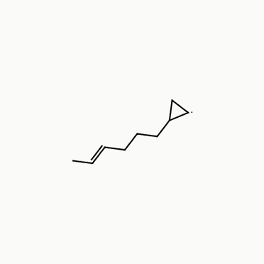 CC=CCCCC1[CH]C1